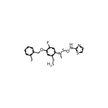 CN(SONc1nccs1)c1cc(F)c(OCc2ccccc2F)cc1F.S